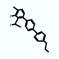 CCCc1ccc(-c2ccc(-c3ccc(C)c(F)c3C(F)F)cc2)cc1